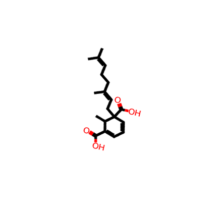 CC(C)=CCC/C(C)=C/CC1(C(=O)O)C=CC=C(C(=O)O)C1C